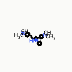 CN(C)c1ccc(C=CC2=CC(c3ccc(N(C)C)cc3)N(c3ccccc3)N2)cc1